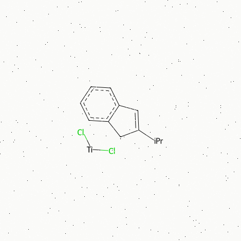 CC(C)C1=Cc2ccccc2[CH]1.[Cl][Ti][Cl]